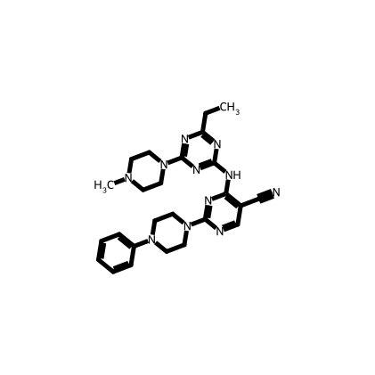 CCc1nc(Nc2nc(N3CCN(c4ccccc4)CC3)ncc2C#N)nc(N2CCN(C)CC2)n1